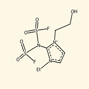 CCn1cc[n+](CCO)c1N(S(=O)(=O)F)S(=O)(=O)F